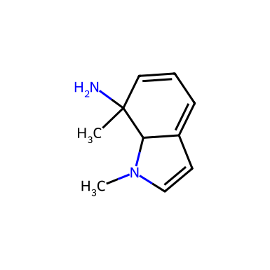 CN1C=CC2=CC=CC(C)(N)C21